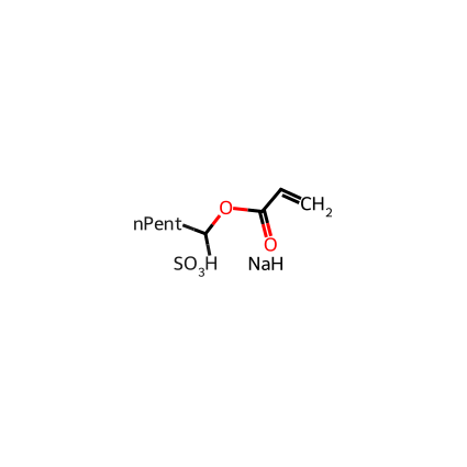 C=CC(=O)OC(CCCCC)S(=O)(=O)O.[NaH]